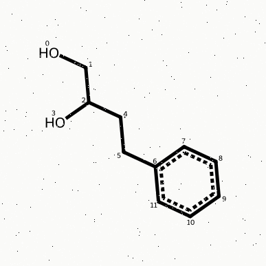 OCC(O)[CH]Cc1ccccc1